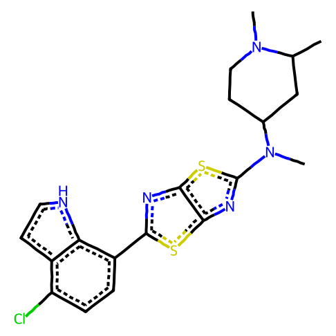 CC1CC(N(C)c2nc3sc(-c4ccc(Cl)c5cc[nH]c45)nc3s2)CCN1C